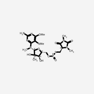 CNc1c(OC)nc(N)nc1N(C)[C@@H]1O[C@H](CO[PH](=O)SC[C@H]2C(=O)N(C)C(=O)N2C)[C@@H](O)[C@@]1(C)O